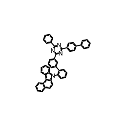 c1ccc(-c2ccc(-c3nc(-c4ccccc4)nc(-c4cccc(-c5ccccc5-n5c6ccccc6c6c7ccccc7ccc65)c4)n3)cc2)cc1